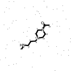 CNCCCN1CCN(C(C)=O)CC1